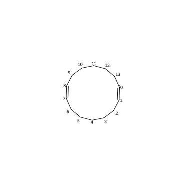 [C]1=CCCCCCC=CCCCCC1